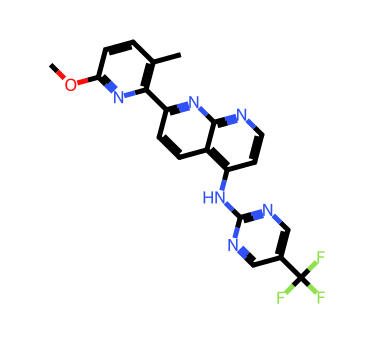 COc1ccc(C)c(-c2ccc3c(Nc4ncc(C(F)(F)F)cn4)ccnc3n2)n1